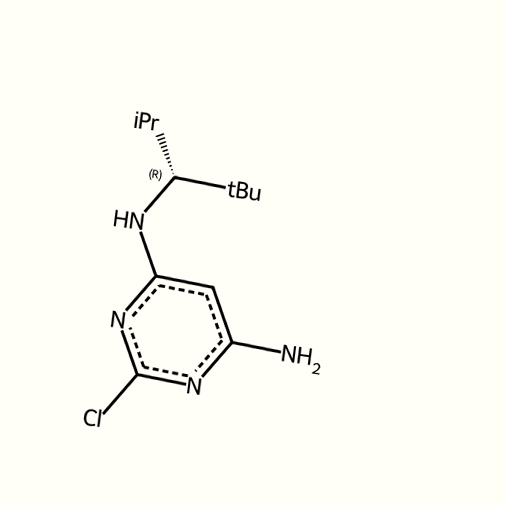 CC(C)[C@@H](Nc1cc(N)nc(Cl)n1)C(C)(C)C